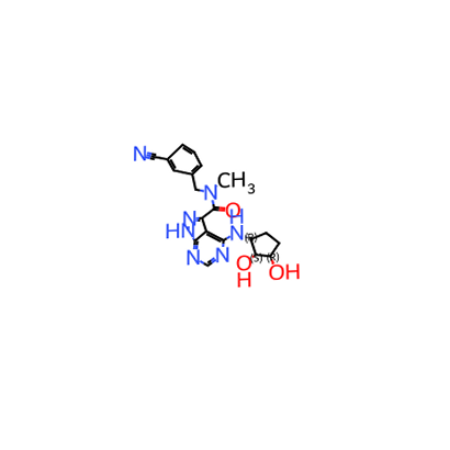 CN(Cc1cccc(C#N)c1)C(=O)c1n[nH]c2ncnc(N[C@@H]3CC[C@@H](O)[C@H]3O)c12